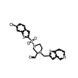 O=CC1CN(S(=O)(=O)c2cc3ccc(Cl)cc3s2)CCN1Cc1cc2cnccc2s1